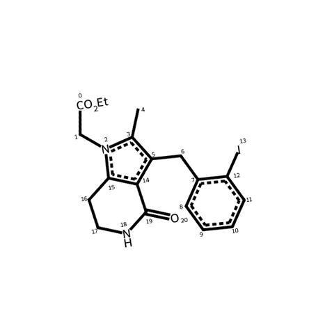 CCOC(=O)Cn1c(C)c(Cc2ccccc2I)c2c1CCNC2=O